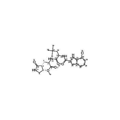 COC(=O)C(C[C@@H]1CCNC1=O)NC(=O)C(CC(C)(C)C)NC(=O)c1cc2cccc(Cl)c2[nH]1